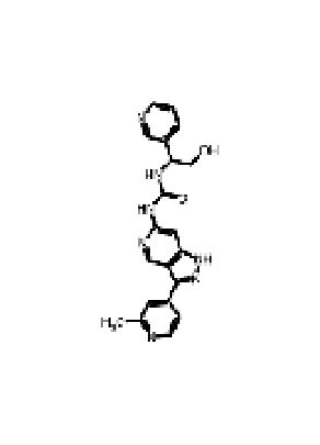 Cc1cc(-c2n[nH]c3cc(NC(=O)NC(CO)c4cccnc4)ncc23)ccn1